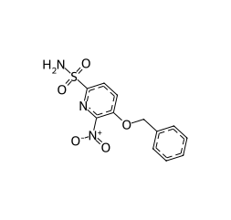 NS(=O)(=O)c1ccc(OCc2ccccc2)c([N+](=O)[O-])n1